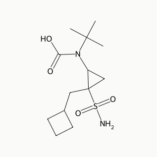 CC(C)(C)N(C(=O)O)C1CC1(CC1CCC1)S(N)(=O)=O